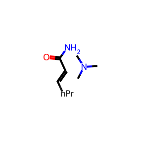 CCCC=CC(N)=O.CN(C)C